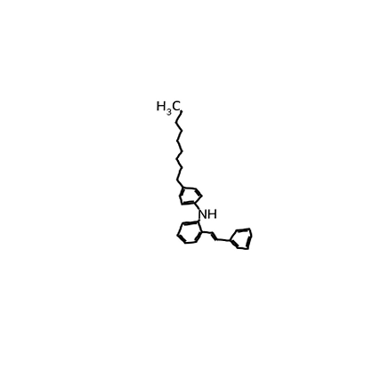 CCCCCCCCCc1ccc(Nc2ccccc2C=Cc2ccccc2)cc1